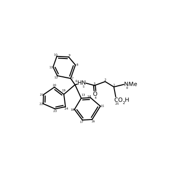 CNC(CC(=O)NC(c1ccccc1)(c1ccccc1)c1ccccc1)C(=O)O